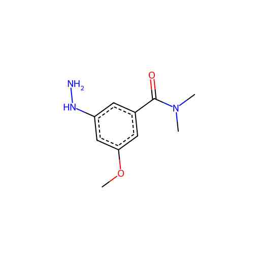 COc1cc(NN)cc(C(=O)N(C)C)c1